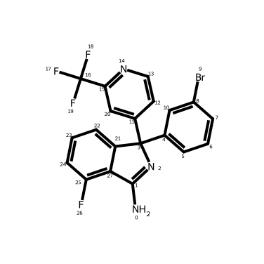 NC1=NC(c2cccc(Br)c2)(c2ccnc(C(F)(F)F)c2)c2cccc(F)c21